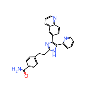 NC(=O)c1ccc(CCc2nc(-c3ccc4ncccc4c3)c(-c3ccccn3)[nH]2)cc1